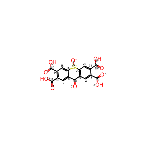 O=C(O)c1cc2c(=O)c3cc(C(=O)O)c(C(=O)O)cc3[s+]([O-])c2cc1C(=O)O